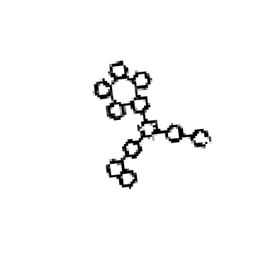 c1ccc2c(-c3ccc(-c4nc(-c5ccc(-c6ccncc6)cc5)nc(-c5ccc6c7ccccc7c7ccccc7c7ccccc7c7ccccc7c6c5)n4)cc3)cccc2c1